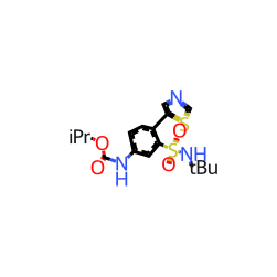 CC(C)OC(=O)Nc1ccc(-c2cncs2)c(S(=O)(=O)NC(C)(C)C)c1